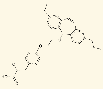 CCCc1ccc2c(c1)C=Cc1cc(CC)ccc1C2OCCOc1ccc(CC(OC)C(=O)O)cc1